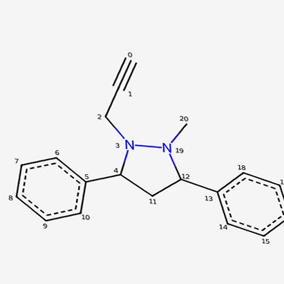 C#CCN1C(c2ccccc2)CC(c2ccccc2)N1C